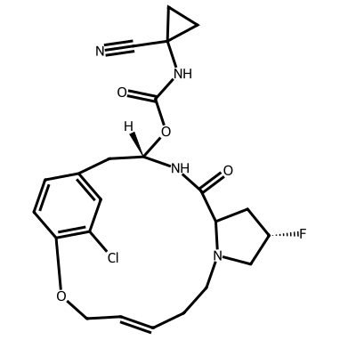 N#CC1(NC(=O)O[C@H]2Cc3ccc(c(Cl)c3)OC/C=C/CCN3C[C@@H](F)CC3C(=O)N2)CC1